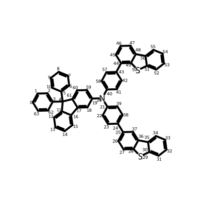 c1ccc(C2(c3ccccc3)c3ccccc3-c3cc(N(c4ccc(-c5ccc6sc7ccccc7c6c5)cc4)c4ccc(-c5cccc6c5sc5ccccc56)cc4)ccc32)cc1